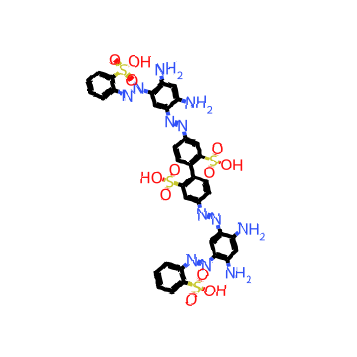 Nc1cc(N)c(N=Nc2ccccc2S(=O)(=O)O)cc1N=Nc1ccc(-c2ccc(N=Nc3cc(N=Nc4ccccc4S(=O)(=O)O)c(N)cc3N)cc2S(=O)(=O)O)c(S(=O)(=O)O)c1